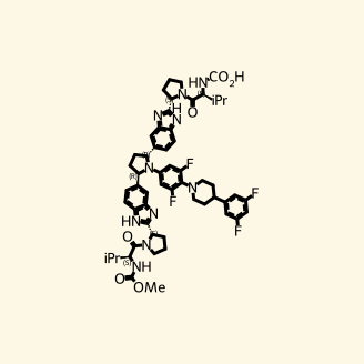 COC(=O)N[C@H](C(=O)N1CCC[C@H]1c1nc2cc([C@H]3CC[C@H](c4ccc5[nH]c([C@@H]6CCCN6C(=O)[C@@H](NC(=O)O)C(C)C)nc5c4)N3c3cc(F)c(N4CCC(c5cc(F)cc(F)c5)CC4)c(F)c3)ccc2[nH]1)C(C)C